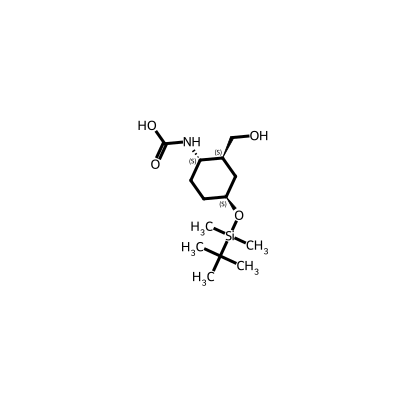 CC(C)(C)[Si](C)(C)O[C@H]1CC[C@H](NC(=O)O)[C@@H](CO)C1